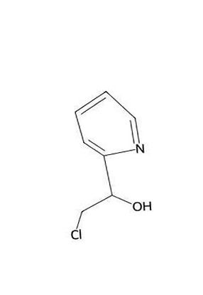 OC(CCl)c1ccccn1